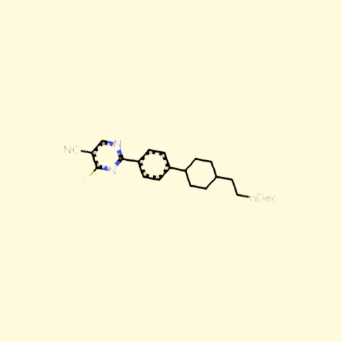 CCCCCCCCCCCCC1CCC(c2ccc(-c3ncc(C#N)c(F)n3)cc2)CC1